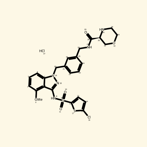 COc1cccc2c1c(NS(=O)(=O)c1ccc(Cl)s1)nn2Cc1cccc(CNC(=O)[C@@H]2COCCN2)c1.Cl